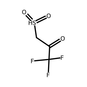 O=C(C[SH](=O)=O)C(F)(F)F